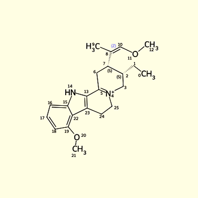 CC[C@@H]1C[N+]2=C(C[C@@H]1/C(C)=C\OC)c1[nH]c3cccc(OC)c3c1CC2